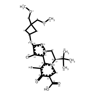 COCC1(COC)CC(Oc2nn3c(c2Cl)-c2c(F)c(=O)c(C(=O)O)cn2[C@H](C(C)(C)C)C3)C1